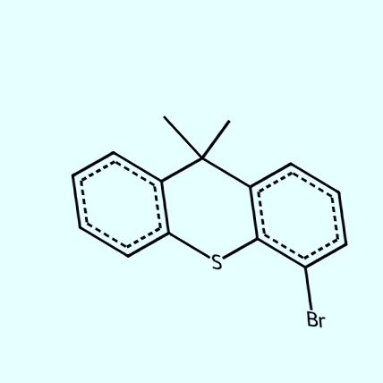 CC1(C)c2ccccc2Sc2c(Br)cccc21